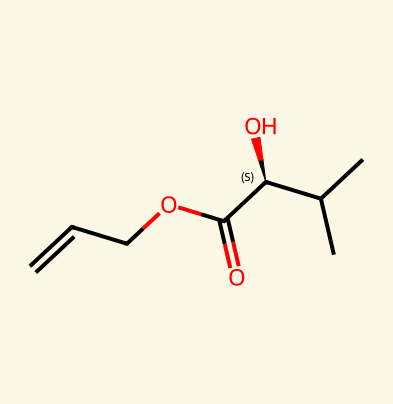 C=CCOC(=O)[C@@H](O)C(C)C